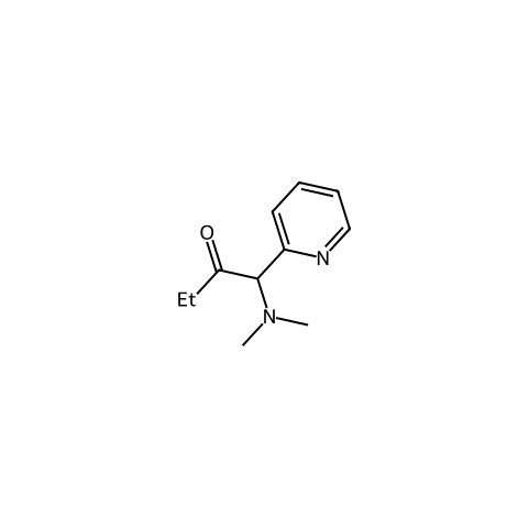 CCC(=O)C(c1ccccn1)N(C)C